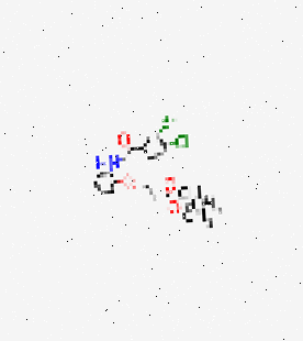 CC(C)(C)OC(=O)CCCOc1ccccc1NCC(=O)c1ccc(Cl)c(Br)c1